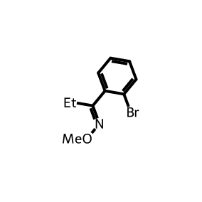 CCC(=NOC)c1ccccc1Br